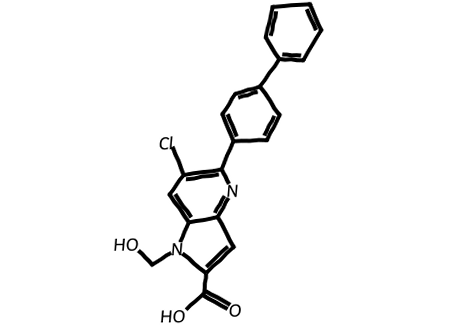 O=C(O)c1cc2nc(-c3ccc(-c4ccccc4)cc3)c(Cl)cc2n1CO